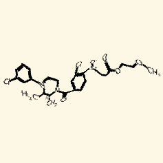 COCCOC(=O)C[S+]([O-])c1ccc(C(=O)N2CCN(c3cccc(Cl)c3)C(C)[C@@H]2C)cc1Cl